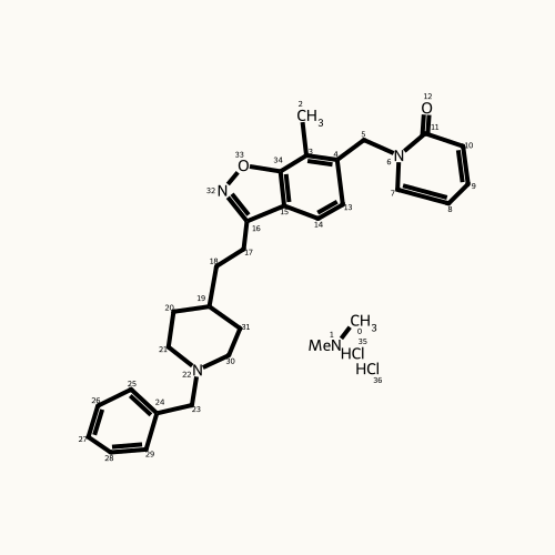 CNC.Cc1c(Cn2ccccc2=O)ccc2c(CCC3CCN(Cc4ccccc4)CC3)noc12.Cl.Cl